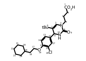 CC(C)(C)C1=CN(CCCC(=O)O)C(=O)NC1c1ccc(OCCC2CCCCC2)c(Cl)c1